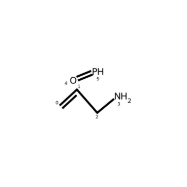 C=CCN.O=P